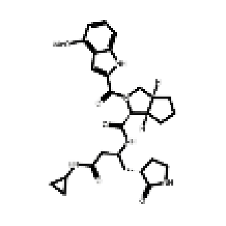 COc1cccc2[nH]c(C(=O)N3C[C@@H]4CCC[C@@H]4[C@H]3C(=O)N[C@H](CC(=O)NC3CC3)C[C@@H]3CCNC3=O)cc12